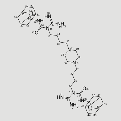 N=C(N)N(CCCCN1CCN(CCCCN(C(=N)N)C(=O)NC23CC4CC(CC(C4)C2)C3)CC1)C(=O)NC12CC3CC(CC(C3)C1)C2